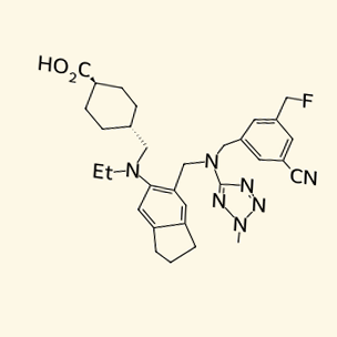 CCN(C[C@H]1CC[C@H](C(=O)O)CC1)c1cc2c(cc1CN(Cc1cc(C#N)cc(CF)c1)c1nnn(C)n1)CCC2